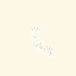 CNCC1COc2cc(C(=O)Nc3cccc(-c4nncn4C(C)C)n3)c(F)cc2O1